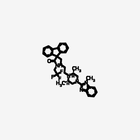 C[C@@H]1CN(c2nc3ccccc3n2C)C[C@H](C)N1CCCCC1(C(=O)NCC(F)(F)F)c2ccccc2-c2ccccc21